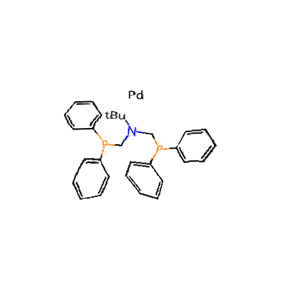 CC(C)(C)N(CP(c1ccccc1)c1ccccc1)CP(c1ccccc1)c1ccccc1.[Pd]